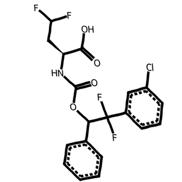 O=C(N[C@@H](CC(F)F)C(=O)O)OC(c1ccccc1)C(F)(F)c1cccc(Cl)c1